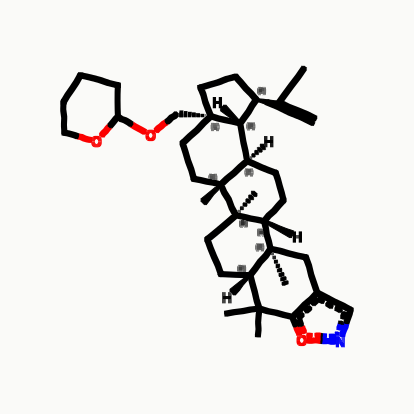 C=C(C)[C@@H]1CC[C@]2(COC3CCCCO3)CC[C@]3(C)[C@H](CC[C@@H]4[C@@]5(C)Cc6cnoc6C(C)(C)[C@@H]5CC[C@]43C)[C@@H]12